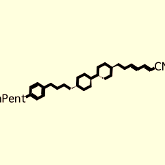 CCCCCc1ccc(CCCC[C@H]2CC[C@H]([C@H]3CC[C@H](CCC=CC=CC#N)CC3)CC2)cc1